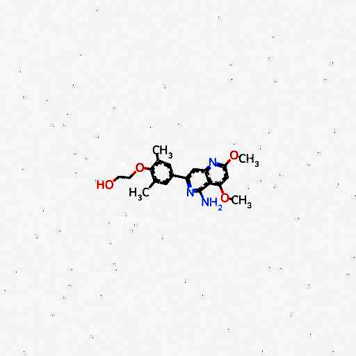 COc1cc(OC)c2c(N)nc(-c3cc(C)c(OCCO)c(C)c3)cc2n1